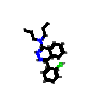 CCCN(CCC)c1nnc(-c2ccccc2Cl)c2ccccc12